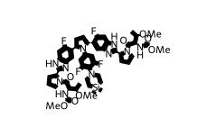 COC(=O)N[C@H](C(=O)N1CCC[C@H]1c1nc2cc([C@H]3CC[C@H](c4cc5nc([C@@H]6CCCN6C(=O)[C@@H](NC(=O)OC)[C@@H](C)OC)[nH]c5cc4F)N3c3cc(F)c(N4CC[Si](C)(C)CC4)c(F)c3)c(F)cc2[nH]1)[C@@H](C)OC